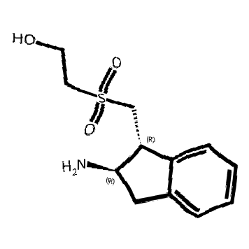 N[C@@H]1Cc2ccccc2[C@H]1CS(=O)(=O)CCO